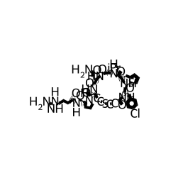 CC(C)[C@@H]1NC(=O)[C@H](Cc2cccs2)NC(=O)[C@H](Cc2ccc(Cl)cc2)NC(=O)CCSCC[C@@H](C(=O)N2CCC[C@H]2C(=O)N[C@@H](CO)CCCNC(=N)N)NC(=O)[C@H](CC(N)=O)NC1=O